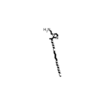 C=C=C=C=C=C=C=C=C=C=C=C=C=C=C=C(C)C1N=CCN1CCN